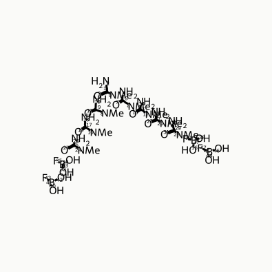 CNC(N)=O.CNC(N)=O.CNC(N)=O.CNC(N)=O.CNC(N)=O.CNC(N)=O.CNC(N)=O.CNC(N)=O.OB(O)F.OB(O)F.OB(O)F.OB(O)F